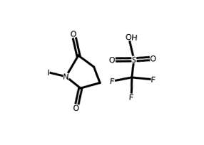 O=C1CCC(=O)N1I.O=S(=O)(O)C(F)(F)F